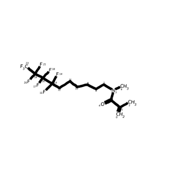 C=C(C)C(=O)N(C)CCCCCCC(F)(F)C(F)(F)C(F)(F)C(F)(F)F